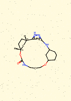 O=C1NCCCOC2CCCC(C2)Nc2cc([nH]n2)[C@H]2CC[C@H](C2)O1